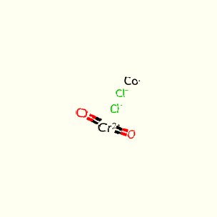 [Cl-].[Cl-].[Co].[O]=[Cr+2]=[O]